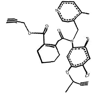 C#CCOC(=O)C1=C(C(=O)N(Cc2cnccc2C)c2cc(OC(C)C#C)c(Cl)cc2F)CCCC1